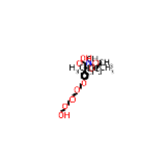 CN(C(=O)OC(C)(C)C)[C@H](C(=O)O)C(C)(C)c1ccc(OCCOCCOCCOCCO)cc1